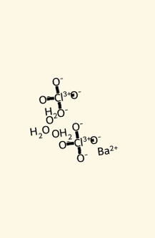 O.O.O.[Ba+2].[O-][Cl+3]([O-])([O-])[O-].[O-][Cl+3]([O-])([O-])[O-]